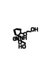 O=[N+]([O-])C1(NCCO)C=CC=CC1OCCO